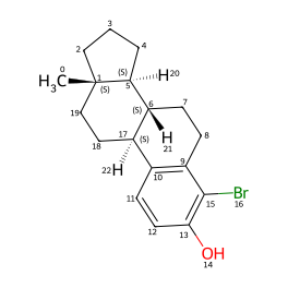 C[C@@]12CCC[C@H]1[C@@H]1CCc3c(ccc(O)c3Br)[C@H]1CC2